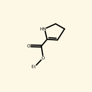 CCOC(=O)C1=CCCN1